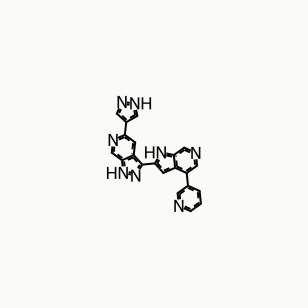 c1cncc(-c2cncc3[nH]c(-c4n[nH]c5cnc(-c6cn[nH]c6)cc45)cc23)c1